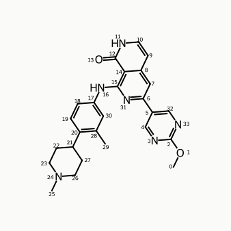 COc1ncc(-c2cc3cc[nH]c(=O)c3c(Nc3ccc(C4CCN(C)CC4)c(C)c3)n2)cn1